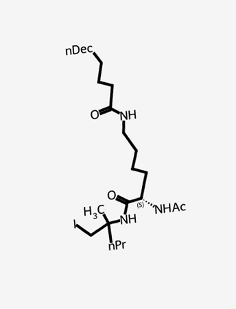 CCCCCCCCCCCCCC(=O)NCCCC[C@H](NC(C)=O)C(=O)NC(C)(CI)CCC